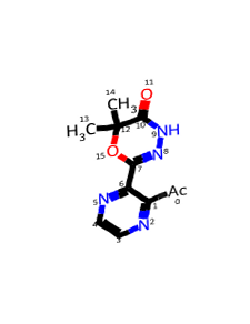 CC(=O)c1nccnc1C1=NNC(=O)C(C)(C)O1